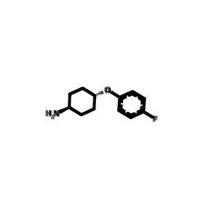 N[C@H]1CC[C@H](Oc2ccc(F)cc2)CC1